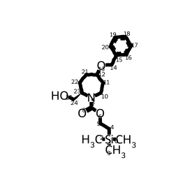 C[Si](C)(C)CCOC(=O)N1CCC(OCc2ccccc2)CC[C@@H]1CO